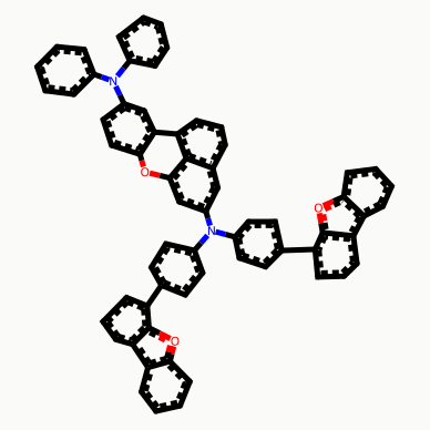 c1ccc(N(c2ccccc2)c2ccc3c(c2)-c2cccc4cc(N(c5ccc(-c6cccc7c6oc6ccccc67)cc5)c5ccc(-c6cccc7c6oc6ccccc67)cc5)cc(c24)O3)cc1